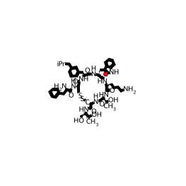 CC(C)Cc1cccc(C[C@@H]2NC(=O)[C@@H](NC(=O)[C@H](N)Cc3ccccc3)CSSCC(C(=O)N[C@H](CO)[C@@H](C)O)NC(=O)[C@H](C(C)O)NC(=O)[C@H](CCCCN)NC(=O)[C@@H](Cc3c[nH]c4ccccc34)NC2=O)c1